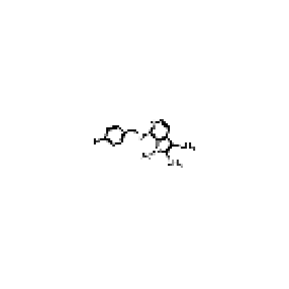 CC(=O)n1c(C)c(C)c2ccnc(OCc3ccc(F)cc3)c21